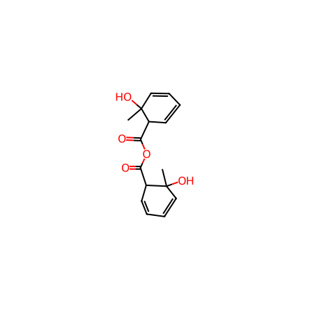 CC1(O)C=CC=CC1C(=O)OC(=O)C1C=CC=CC1(C)O